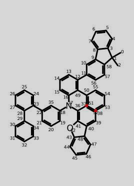 CC1(C)c2ccccc2-c2cc(-c3cccc(N(c4cccc(-c5ccccc5-c5ccccc5)c4)c4cccc5c4oc4ccccc45)c3-c3ccccc3)ccc21